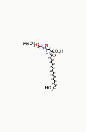 COCCOCCNC(=O)CCC(NC(=O)CCCCCCCCCCCCCCC(=O)O)C(=O)O